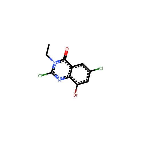 CCn1c(Cl)nc2c(Br)cc(Cl)cc2c1=O